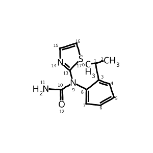 CC(C)c1ccccc1N(C(N)=O)c1nccs1